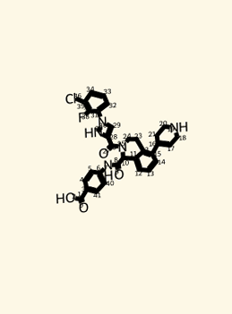 O=C(O)c1ccc(NC(=O)C2c3cccc(C4=CCNCC4)c3CCN2C(=O)c2cn(-c3cccc(Cl)c3F)[nH]2)cc1